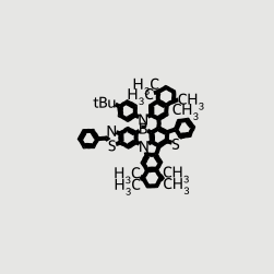 CC(C)(C)c1ccc(N2B3c4cc5nc(-c6ccccc6)sc5cc4-n4c5cc6c(cc5c5c7sc8ccccc8c7c(c3c54)-c3cc4c(cc32)C(C)(C)CCC4(C)C)C(C)(C)CCC6(C)C)cc1